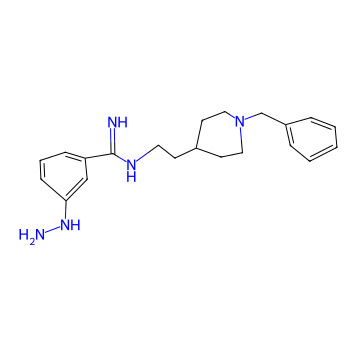 N=C(NCCC1CCN(Cc2ccccc2)CC1)c1cccc(NN)c1